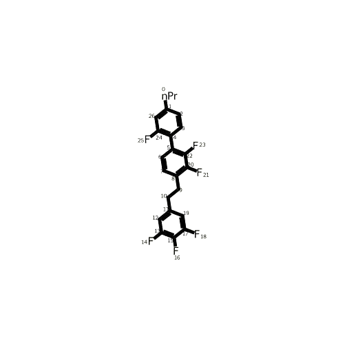 CCCc1ccc(-c2ccc(CCc3cc(F)c(F)c(F)c3)c(F)c2F)c(F)c1